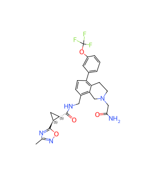 Cc1noc([C@H]2C[C@@H]2C(=O)NCc2ccc(-c3cccc(OC(F)(F)F)c3)c3c2CN(CC(N)=O)CC3)n1